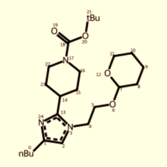 CCCCc1cn(CCOC2CCCCO2)c(C2CCN(C(=O)OC(C)(C)C)CC2)n1